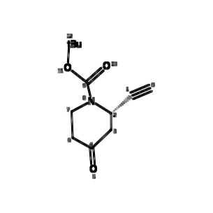 C#C[C@@H]1CC(=O)CCN1C(=O)OC(C)(C)C